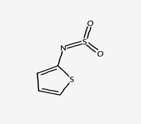 O=S(=O)=Nc1cccs1